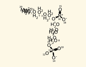 O.O.O.O.O.O.O.O.O.O.O=P([O-])([O-])[O-].O=[N+]([O-])[O-].[Mg+2].[Mg+2]